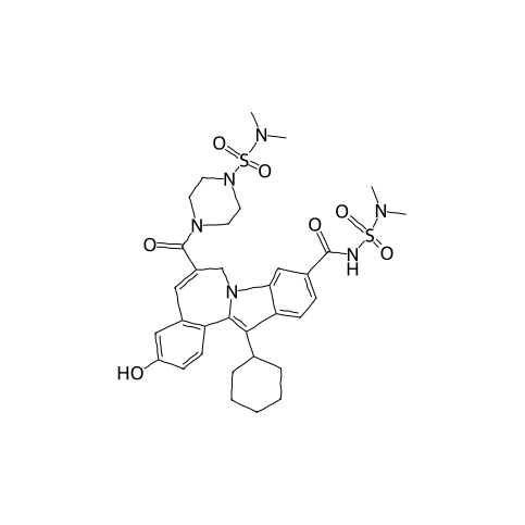 CN(C)S(=O)(=O)NC(=O)c1ccc2c(C3CCCCC3)c3n(c2c1)CC(C(=O)N1CCN(S(=O)(=O)N(C)C)CC1)=Cc1cc(O)ccc1-3